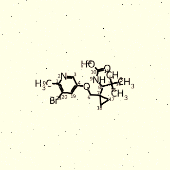 Cc1ncc(OCC2(C(NC(=O)O)C(C)(C)C)CC2)cc1Br